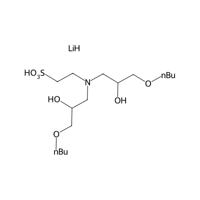 CCCCOCC(O)CN(CCS(=O)(=O)O)CC(O)COCCCC.[LiH]